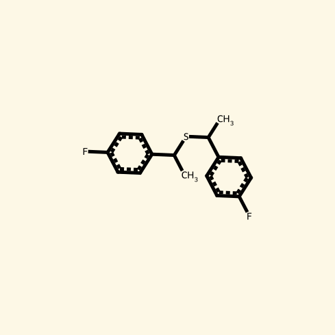 CC(SC(C)c1ccc(F)cc1)c1ccc(F)cc1